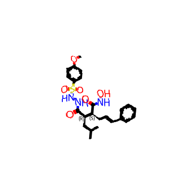 COc1ccc(S(=O)(=O)NNC(=O)[C@H](CC(C)C)[C@H](CC=Cc2ccccc2)C(=O)NO)cc1